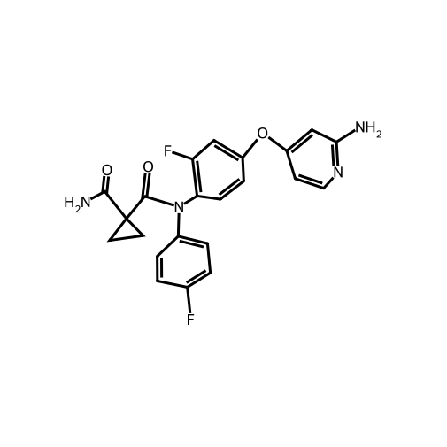 NC(=O)C1(C(=O)N(c2ccc(F)cc2)c2ccc(Oc3ccnc(N)c3)cc2F)CC1